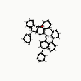 c1ccc(-c2ccc(N(c3ccc4c5ccccc5n(-c5ccccc5)c4c3)c3c(-c4ccccc4)cccc3-c3ccccc3)cc2)cc1